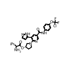 CC(C)C(N)C(=O)O[C@H]1CCN(c2ncc(C(=O)Nc3ccc(OC(F)(F)Cl)cc3)cc2-c2ccn[nH]2)C1